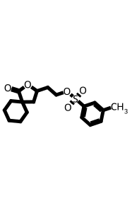 Cc1cccc(S(=O)(=O)OCCC2CC3(CCCCC3)C(=O)O2)c1